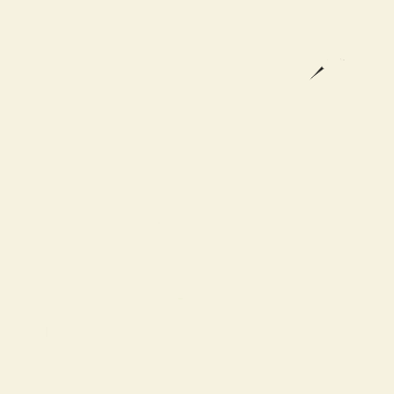 CCC[C@H]1CC[C@H](c2ccc(-c3ccc(CC)cc3F)cc2)CC1